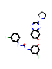 O=C(Nc1cccc(F)c1)Nc1cc(F)cc(Oc2ccc3ncc(N4CCCC4)nc3c2)c1